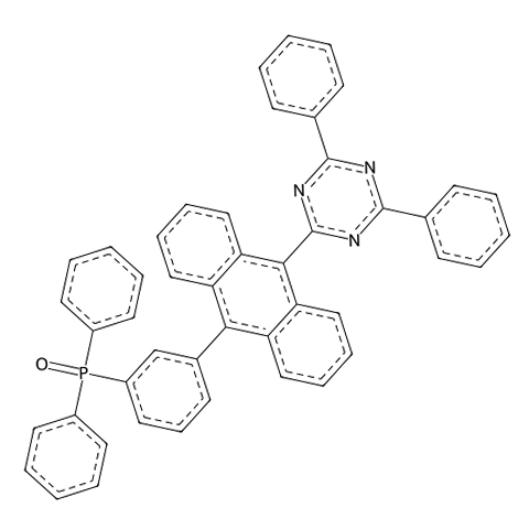 O=P(c1ccccc1)(c1ccccc1)c1cccc(-c2c3ccccc3c(-c3nc(-c4ccccc4)nc(-c4ccccc4)n3)c3ccccc23)c1